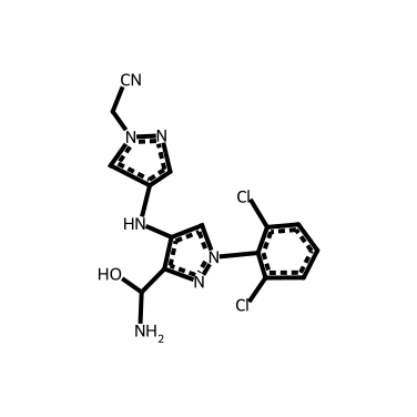 N#CCn1cc(Nc2cn(-c3c(Cl)cccc3Cl)nc2C(N)O)cn1